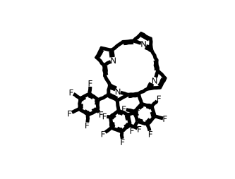 Fc1c(F)c(F)c(C2=C3N=C(C=C4C=CC(=N4)C=C4C=CC(=N4)C=C4C=CC2=N4)C(c2c(F)c(F)c(F)c(F)c2F)=C3c2c(F)c(F)c(F)c(F)c2F)c(F)c1F